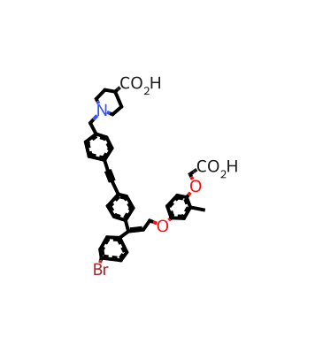 Cc1cc(OCC=C(c2ccc(Br)cc2)c2ccc(C#Cc3ccc(CN4CCC(C(=O)O)CC4)cc3)cc2)ccc1OCC(=O)O